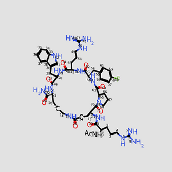 CC(=O)NC(CCCNC(=N)N)C(=O)NC1CCC(=O)NCCC[C@@H](C(N)=O)NC(=O)C(Cc2c[nH]c3ccccc23)NC(=O)C(CCCNC(=N)N)NC(=O)[C@@H](Cc2ccc(F)cc2)NC(=O)C2CCCN2C1=O